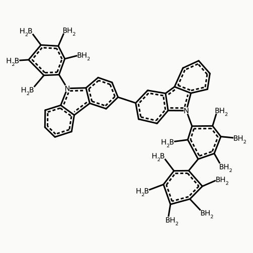 Bc1c(B)c(B)c(-c2c(B)c(B)c(B)c(-n3c4ccccc4c4cc(-c5ccc6c(c5)c5ccccc5n6-c5c(B)c(B)c(B)c(B)c5B)ccc43)c2B)c(B)c1B